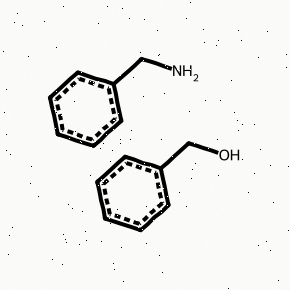 NCc1ccccc1.OCc1ccccc1